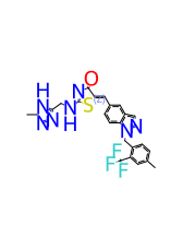 Cc1ccc(Cn2ncc3cc(/C=C4\SC(NCc5nnc(C)[nH]5)=NC4=O)ccc32)c(C(F)(F)F)c1